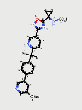 COc1cncc(-c2ccc(C(C)(c3ccc(-c4noc(C5(NC(=O)O)CC5)n4)cn3)C(C)C)cc2)c1